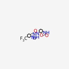 O=C1COc2c(cccc2NC(=O)NCc2ccc(C(F)(F)F)cc2N2CCCC2)N1